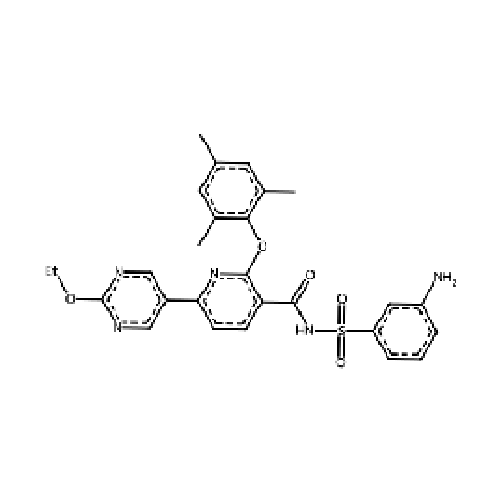 CCOc1ncc(-c2ccc(C(=O)NS(=O)(=O)c3cccc(N)c3)c(Oc3c(C)cc(C)cc3C)n2)cn1